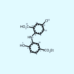 CCOC(=O)c1ccc(O)c(Nc2ccc(Cl)cc2C(=O)O)c1